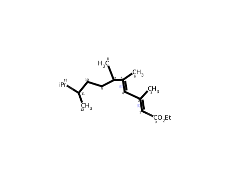 CCOC(=O)/C=C(C)/C=C(\C)C(C)CCC(C)C(C)C